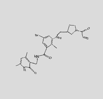 C=CC(=O)N1CCC(CNc2cc(Br)cc(C(=O)NCc3c(C)cc(C)[nH]c3=O)c2C)C1